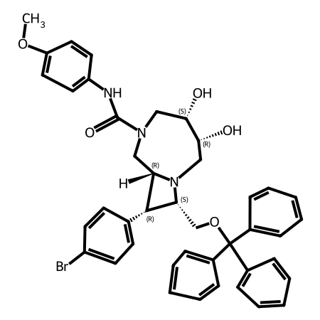 COc1ccc(NC(=O)N2C[C@H](O)[C@H](O)CN3[C@H](COC(c4ccccc4)(c4ccccc4)c4ccccc4)[C@H](c4ccc(Br)cc4)[C@@H]3C2)cc1